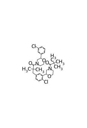 CC(C)(C)C(=O)N1CCOC(c2cc(CC(C)(C)C(=O)N3CCOC(c4cccc(Cl)c4)C3)ccc2Cl)C1